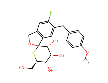 OC[C@H]1S[C@]2(OCc3cc(F)c(Cc4ccc(OC(F)(F)F)cc4)cc32)[C@H](O)[C@@H](O)[C@@H]1O